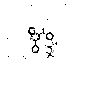 CC(C)(C)OC(=O)N[C@H]1CC[C@@H](Nc2cc(C3CCCC3)nc3ccnn23)C1